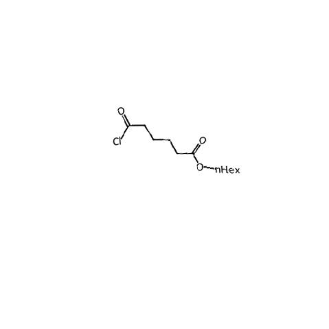 CCCCCCOC(=O)CCCCC(=O)Cl